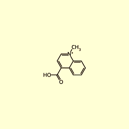 C[n+]1ccc(C(=O)O)c2ccccc21